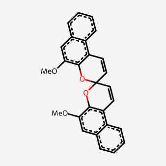 COc1cc2ccccc2c2c1OC1(C=C2)C=Cc2c(c(OC)cc3ccccc23)O1